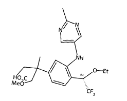 CCO[C@@H](c1ccc(C(C)(COC)CC(=O)O)cc1Nc1cnc(C)nc1)C(F)(F)F